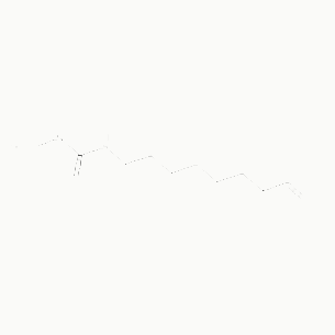 C=CCCCCCCCNC(=O)NCCCCCCCC